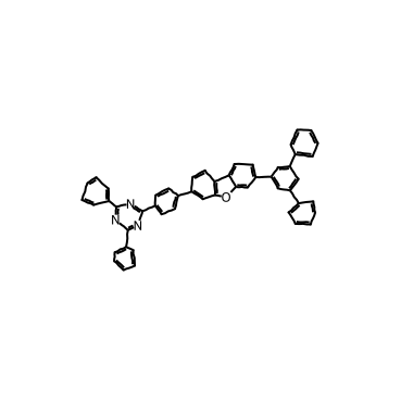 c1ccc(-c2cc(-c3ccccc3)cc(-c3ccc4c(c3)oc3cc(-c5ccc(-c6nc(-c7ccccc7)nc(-c7ccccc7)n6)cc5)ccc34)c2)cc1